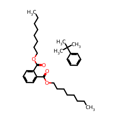 CC(C)(C)c1ccccc1.CCCCCCCCOC(=O)c1ccccc1C(=O)OCCCCCCCC